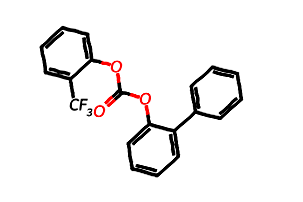 O=C(Oc1ccccc1-c1ccccc1)Oc1ccccc1C(F)(F)F